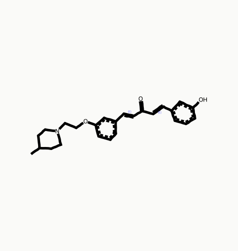 CC1CCN(CCOc2cccc(/C=C/C(=O)/C=C/c3cccc(O)c3)c2)CC1